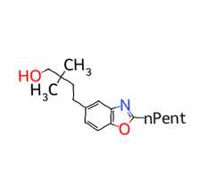 CCCCCc1nc2cc(CCC(C)(C)CO)ccc2o1